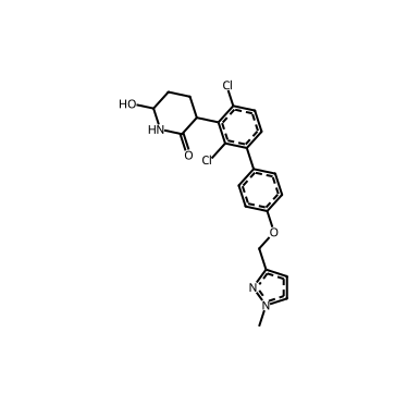 Cn1ccc(COc2ccc(-c3ccc(Cl)c(C4CCC(O)NC4=O)c3Cl)cc2)n1